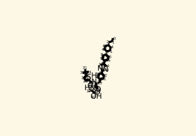 CCC[C@H]1CC[C@H](c2ccc(-c3cnc(-c4ccc(C[C@H](NC(=O)c5ccc(C(C)(C)C)s5)C(=O)N[C@H](C)C(=O)O)cc4)nc3)cc2)CC1